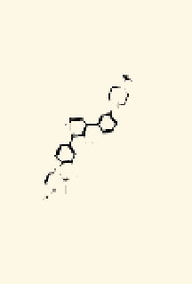 Cc1cc(-c2cccc(N3CCN(C(C)(C)C)CC3)c2)c(O)c(-c2ccc(N(C=O)/C=C\N(C)C)c(Cl)c2)n1